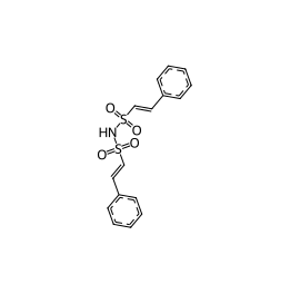 O=S(=O)(/C=C/c1ccccc1)NS(=O)(=O)/C=C/c1ccccc1